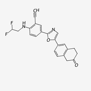 C#Cc1cc(-c2ncc(-c3ccc4c(c3)CCC(=O)C4)o2)ccc1NCC(F)F